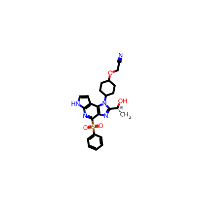 C[C@@H](O)c1nc2c(S(=O)(=O)c3ccccc3)nc3[nH]ccc3c2n1C1CCC(OCC#N)CC1